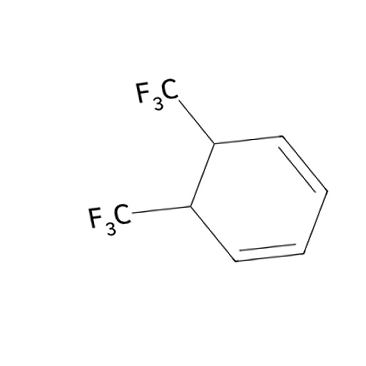 FC(F)(F)C1C=CC=CC1C(F)(F)F